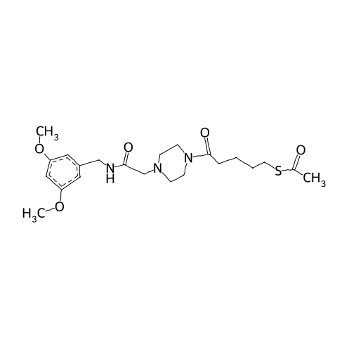 COc1cc(CNC(=O)CN2CCN(C(=O)CCCCSC(C)=O)CC2)cc(OC)c1